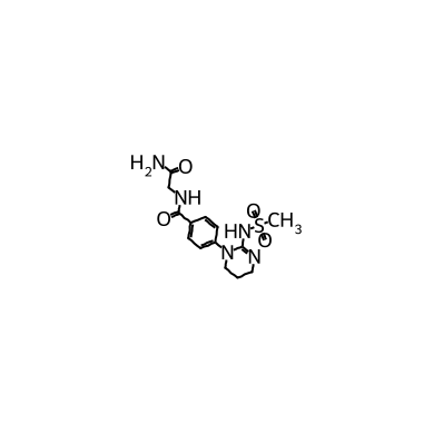 CS(=O)(=O)NC1=NCCCN1c1ccc(C(=O)NCC(N)=O)cc1